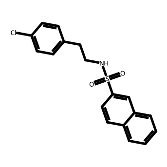 O=S(=O)(NCCc1ccc(Cl)cc1)c1ccc2ccccc2c1